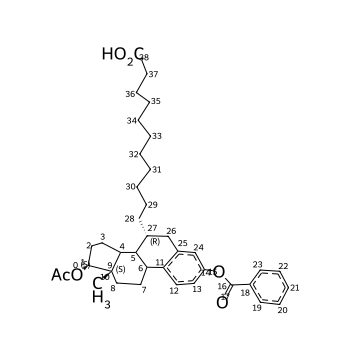 CC(=O)O[C@H]1CCC2C3C(CC[C@@]21C)c1ccc(OC(=O)c2ccccc2)cc1C[C@H]3CCCCCCCCCCC(=O)O